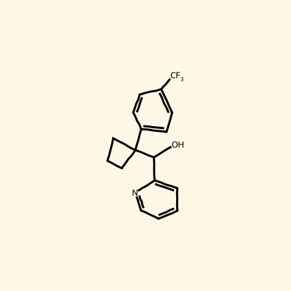 OC(c1ccccn1)C1(c2ccc(C(F)(F)F)cc2)CCC1